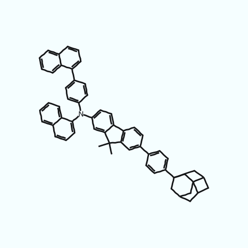 CC1(C)c2cc(-c3ccc(C45CC6CC7CC(C4)C7(C6)C5)cc3)ccc2-c2ccc(N(c3ccc(-c4cccc5ccccc45)cc3)c3cccc4ccccc34)cc21